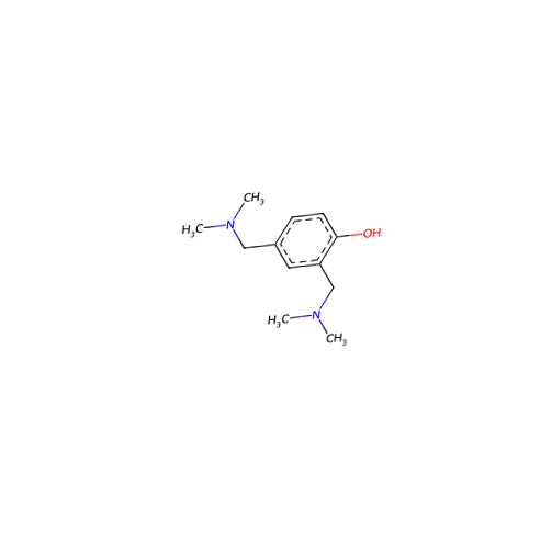 CN(C)Cc1ccc(O)c(CN(C)C)c1